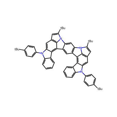 CC(C)(C)c1ccc(-n2c3ccccc3c3c4c5cc6c7c8c9ccccc9n(-c9ccc(C(C)(C)C)cc9)c8cc8cc(C(C)(C)C)n(c6cc5n5c(C(C)(C)C)cc(cc32)c45)c87)cc1